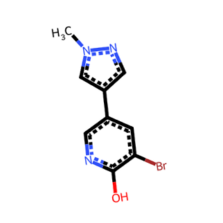 Cn1cc(-c2cnc(O)c(Br)c2)cn1